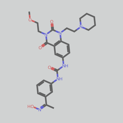 COCCn1c(=O)c2cc(NC(=O)Nc3cccc(/C(C)=N\O)c3)ccc2n(CCN2CCCCC2)c1=O